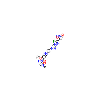 CC(C)Oc1cc2nn([C@H]3CC[C@H](CNC4CCN(c5ncc(C6CCC(=O)NC6=O)cc5F)CC4)CC3)cc2cc1C(=O)Nc1cccn(C2CC2)c1=O